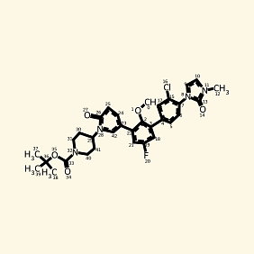 COc1c(-c2ccc(-n3ccn(C)c3=O)c(Cl)c2)cc(F)cc1-c1ccc(=O)n(C2CCN(C(=O)OC(C)(C)C)CC2)c1